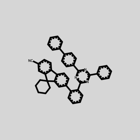 N#Cc1ccc2c(c1)C1(CCCCC1)c1cc(-c3ccccc3-c3nc(-c4ccccc4)nc(-c4ccc(-c5ccccc5)cc4)n3)ccc1-2